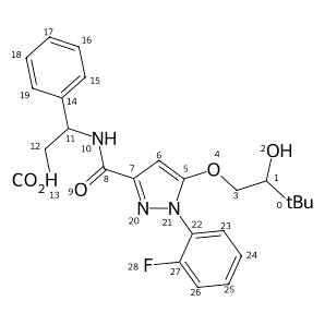 CC(C)(C)C(O)COc1cc(C(=O)NC(CC(=O)O)c2ccccc2)nn1-c1ccccc1F